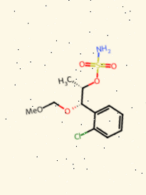 COCO[C@@H](c1ccccc1Cl)[C@H](C)OS(N)(=O)=O